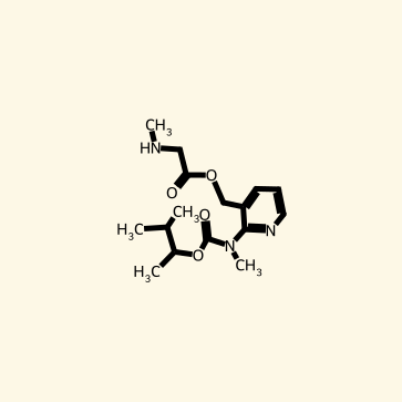 CNCC(=O)OCc1cccnc1N(C)C(=O)OC(C)C(C)C